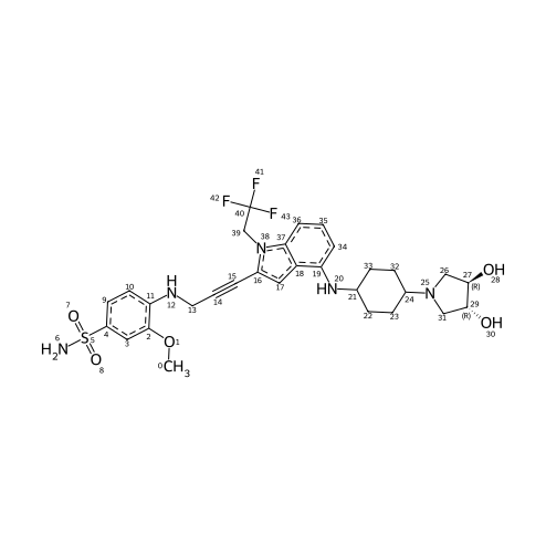 COc1cc(S(N)(=O)=O)ccc1NCC#Cc1cc2c(NC3CCC(N4C[C@@H](O)[C@H](O)C4)CC3)cccc2n1CC(F)(F)F